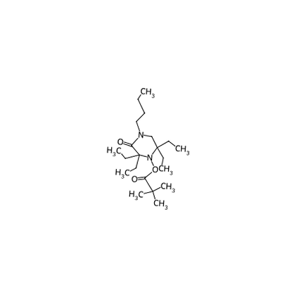 CCCCN1CC(CC)(CC)N(OC(=O)C(C)(C)C)C(CC)(CC)C1=O